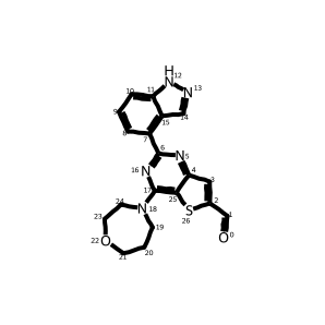 O=Cc1cc2nc(-c3cccc4[nH]ncc34)nc(N3CCCOCC3)c2s1